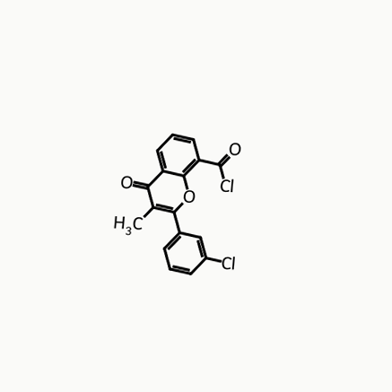 Cc1c(-c2cccc(Cl)c2)oc2c(C(=O)Cl)cccc2c1=O